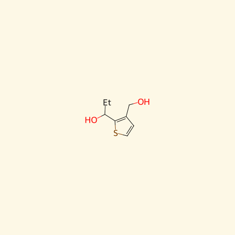 CCC(O)c1sccc1CO